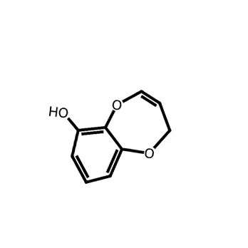 Oc1cccc2c1OC=CCO2